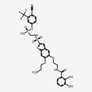 N#Cc1ccc(OP(=O)(O)CNS(=O)(=O)c2cc3cc(OCCNC(=O)c4cccc(O)c4O)c(OCCN)cc3s2)cc1C(F)(F)F